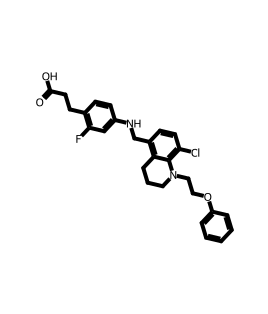 O=C(O)CCc1ccc(NCc2ccc(Cl)c3c2CCCN3CCOc2ccccc2)cc1F